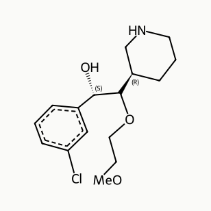 COCCOC([C@@H]1CCCNC1)[C@@H](O)c1cccc(Cl)c1